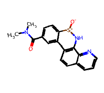 CN(C)C(=O)c1ccc2c(c1)-c1ccc3cccnc3c1N[S+]2[O-]